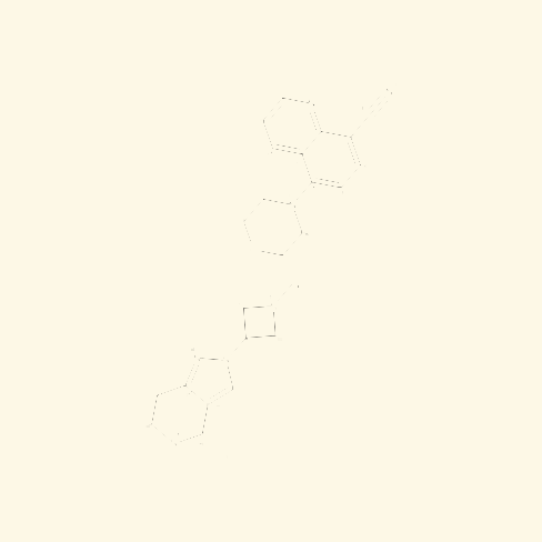 C[C@@H]1CN(c2ccc(C#N)c3ncccc23)C[C@H](CN2CC(n3cc4c(n3)CCN[C@H]4C)C2)O1